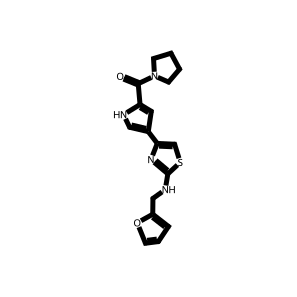 O=C(c1cc(-c2csc(NCc3ccco3)n2)c[nH]1)N1CCCC1